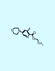 CCOC(=O)c1ncc(N2CCOCC2)cc1F